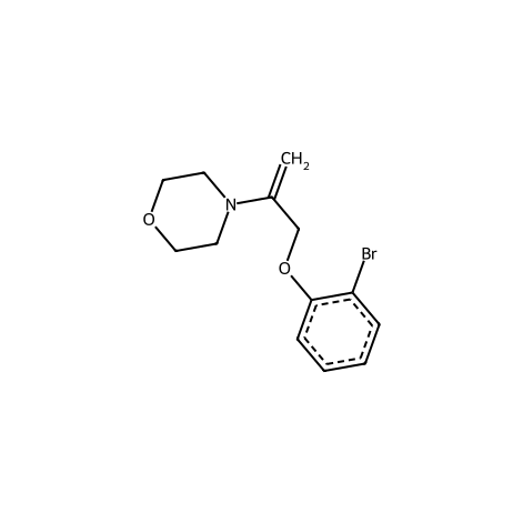 C=C(COc1ccccc1Br)N1CCOCC1